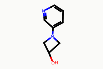 OC1CN(c2cccnc2)C1